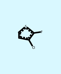 Fc1s[c]cc1Cl